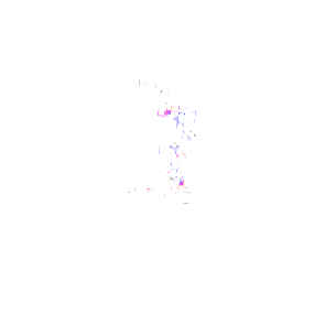 COC(=O)CC[C@@H]1C(=O)N(CC(=O)N[C@@H](CCCNC(=N)NS(=O)(=O)c2ccc(C)cc2)C(=O)c2nccs2)CCN1S(=O)(=O)c1ccccc1